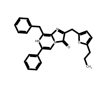 CCCc1ccc(Cc2nc3c(Cc4ccccc4)[nH]c(-c4ccccc4)cn-3c2=O)o1